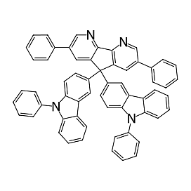 c1ccc(-c2cnc3c(c2)C(c2ccc4c(c2)c2ccccc2n4-c2ccccc2)(c2ccc4c(c2)c2ccccc2n4-c2ccccc2)c2cc(-c4ccccc4)cnc2-3)cc1